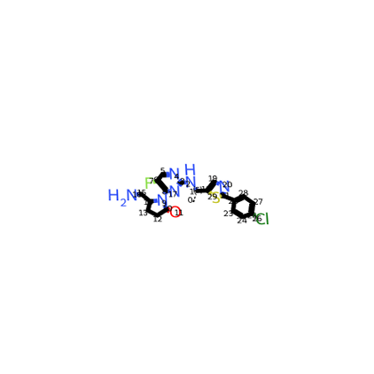 C[C@H](Nc1ncc(F)c(N2C(=O)CCC2CN)n1)c1cnc(-c2ccc(Cl)cc2)s1